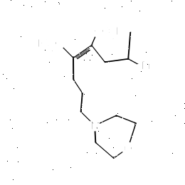 CC(C)C(C)CC(C(=O)O)=C(CCCN1CCOCC1)C(=O)O